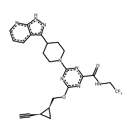 C#C[C@@H]1C[C@@H]1COc1nc(C(=O)NCC(F)(F)F)nc(N2CCC(c3n[nH]c4ncccc34)CC2)n1